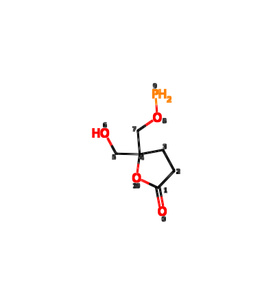 O=C1CCC(CO)(COP)O1